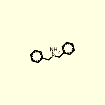 NP(Cc1ccccc1)Cc1ccccc1